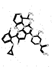 C=CC(=O)N1CCN(c2nc(=O)n(-c3c(C)ccnc3C(C)C)c3nc(-c4c(F)cccc4SC4CC4)c(F)cc23)[C@@H](C)C1